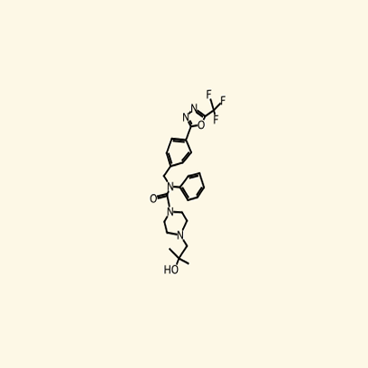 CC(C)(O)CN1CCN(C(=O)N(Cc2ccc(-c3nnc(C(F)(F)F)o3)cc2)c2ccccc2)CC1